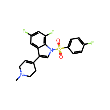 CN1CC=C(c2cn(S(=O)(=O)c3ccc(F)cc3)c3c(F)cc(F)cc23)CC1